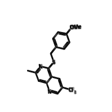 COc1ccc(CSc2nc(C)cc3ncc(C(F)(F)F)cc23)cc1